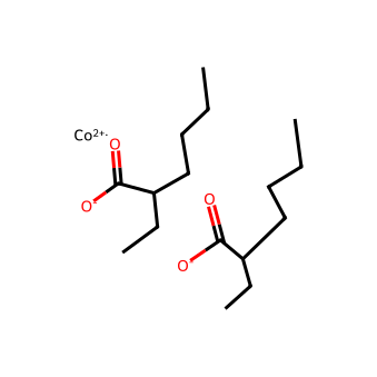 CCCCC(CC)C(=O)[O-].CCCCC(CC)C(=O)[O-].[Co+2]